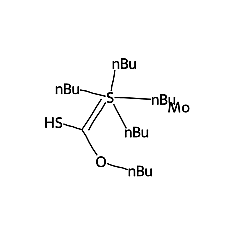 CCCCOC(S)=S(CCCC)(CCCC)(CCCC)CCCC.[Mo]